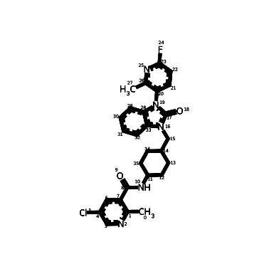 Cc1ncc(Cl)cc1C(=O)NC1CCC(Cn2c(=O)n(-c3ccc(F)nc3C)c3ccccc32)CC1